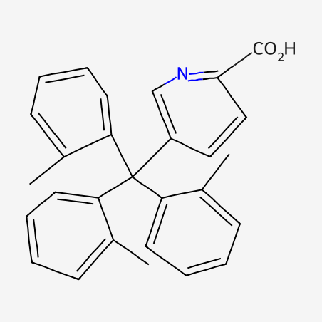 Cc1ccccc1C(c1ccc(C(=O)O)nc1)(c1ccccc1C)c1ccccc1C